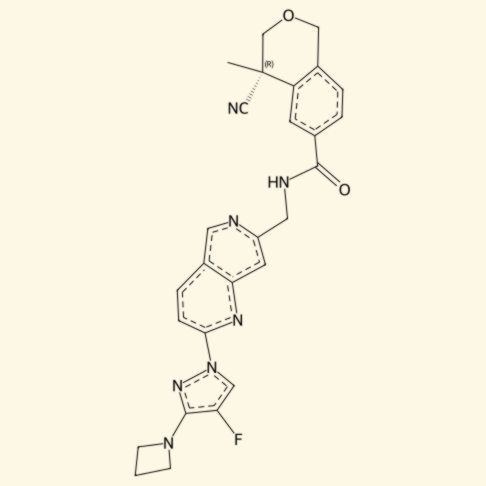 C[C@@]1(C#N)COCc2ccc(C(=O)NCc3cc4nc(-n5cc(F)c(N6CCC6)n5)ccc4cn3)cc21